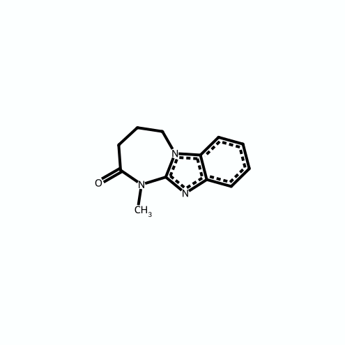 CN1C(=O)CCCn2c1nc1ccccc12